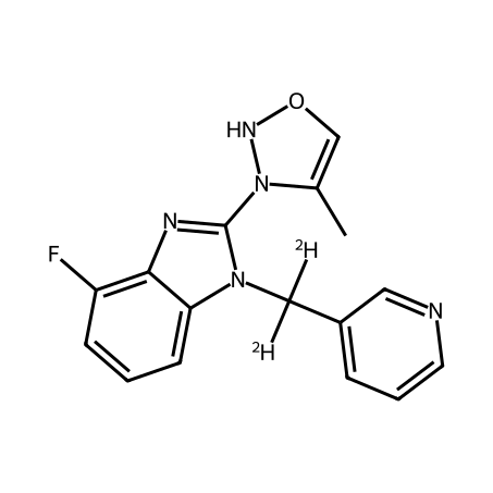 [2H]C([2H])(c1cccnc1)n1c(N2NOC=C2C)nc2c(F)cccc21